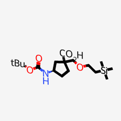 CC(C)(C)OC(=O)N[C@@H]1CCC(COCC[Si](C)(C)C)(C(=O)O)C1